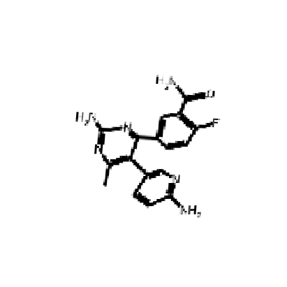 Cc1nc(N)nc(-c2ccc(F)c(C(N)=O)c2)c1-c1ccc(N)nc1